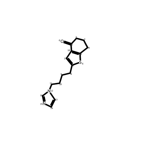 O=C1CCCc2sc(CCCCn3ccnc3)cc21